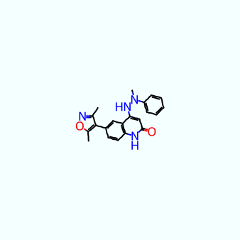 Cc1noc(C)c1-c1ccc2[nH]c(=O)cc(NN(C)c3ccccc3)c2c1